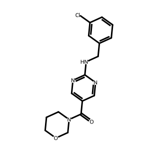 O=C(c1cnc(NCc2cccc(Cl)c2)nc1)N1CCCOC1